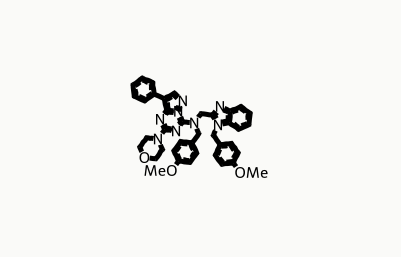 COc1ccc(CN(Cc2nc3ccccc3n2Cc2ccc(OC)cc2)c2nc(N3CCOCC3)nc3c(-c4ccccc4)cnn23)cc1